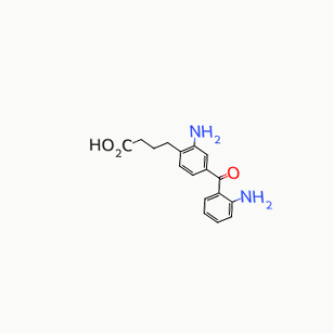 Nc1cc(C(=O)c2ccccc2N)ccc1CCCC(=O)O